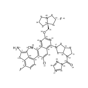 N#Cc1c(N)sc2c(F)ccc(-c3c(Cl)cc4c(N5CC6CCN(C(=O)n7cncn7)C6C5)nc(OC[C@@]56CCCN5C[C@H](F)C6)nc4c3F)c12